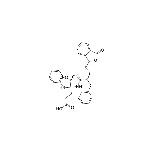 O=C(O)CC[C@@](NC(=O)[C@@H](CSC1OC(=O)c2ccccc21)Cc1ccccc1)(Nc1ccccc1)C(=O)O